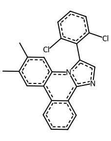 Cc1cc2c3ccccc3c3ncc(-c4c(Cl)cccc4Cl)n3c2cc1C